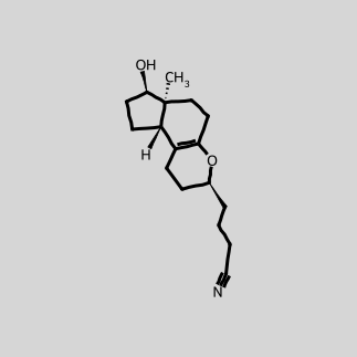 C[C@]12CCC3=C(CC[C@H](CCCC#N)O3)[C@@H]1CC[C@H]2O